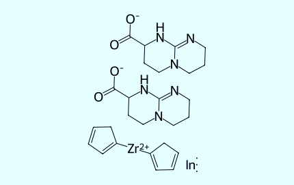 C1=CC[C]([Zr+2][C]2=CC=CC2)=C1.O=C([O-])C1CCN2CCCN=C2N1.O=C([O-])C1CCN2CCCN=C2N1.[In]